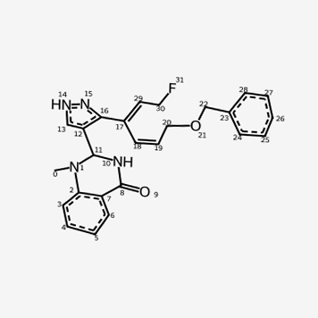 CN1c2ccccc2C(=O)NC1c1c[nH]nc1C(/C=C\COCc1ccccc1)=C/CF